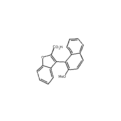 COc1ccc2ccccc2c1-c1c(C(=O)O)oc2ccccc12